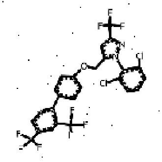 FC(F)(F)c1ccc(-c2ccc(OCc3cc(C(F)(F)F)nn3-c3c(Cl)cccc3Cl)cc2)c(C(F)(F)F)c1